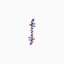 [N-]=[N+]=CC(=O)C(=O)NCCOCCOCCNC(=O)C(=O)C=[N+]=[N-]